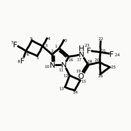 Cc1c(C2(C)CC(F)(F)C2)nn(C2CCC2)c1NC(=O)C1(C(C)(F)F)CC1